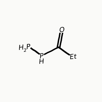 CCC(=O)PP